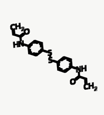 C=CC(=O)Nc1ccc(SSc2ccc(NC(=O)C=C)cc2)cc1